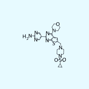 Nc1ncc(-c2nc(N3CCOCC3)c3cc(CN4CCN(S(=O)(=O)C5CC5)CC4)sc3n2)cn1